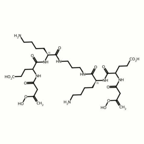 C=C(CC(=O)NC(CCC(=O)O)C(=O)N[C@@H](CCCCN)C(=O)NCCCNC(=O)[C@H](CCCCN)NC(=O)C(CCC(=O)O)NC(=O)CC(=C)OO)OO